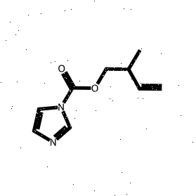 C=CC(C)COC(=O)n1ccnc1